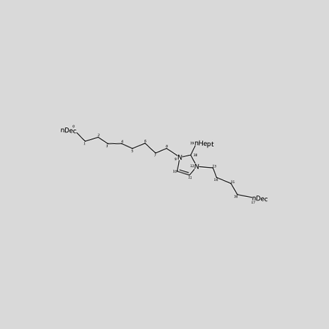 CCCCCCCCCCCCCCCCCCN1C=CN(CCCCCCCCCCCCCC)C1CCCCCCC